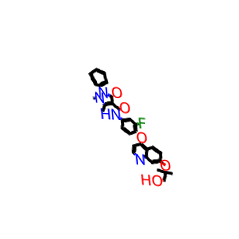 Cc1c(C(=O)Nc2ccc(Oc3ccnc4cc(OC(C)(C)CO)ccc34)c(F)c2)c(=O)n(-c2ccccc2)n1C